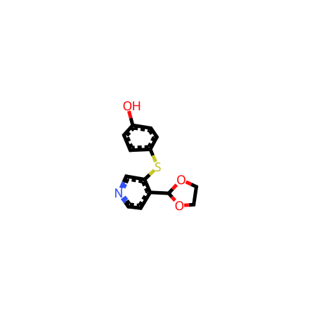 Oc1ccc(Sc2cnccc2C2OCCO2)cc1